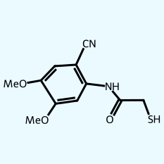 COc1cc(C#N)c(NC(=O)CS)cc1OC